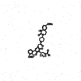 CCC(=O)NCC(C)n1c(=O)c(-c2cccc(OC)c2Cl)cn(CC(=O)N2CCC(N3CCc4cc(OC)ccc4NC3=O)CC2)c1=O